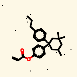 C=CC(=O)Oc1ccc(C2(c3ccc(CCC)cc3)CC(C)CC(C)(C)C2)cc1